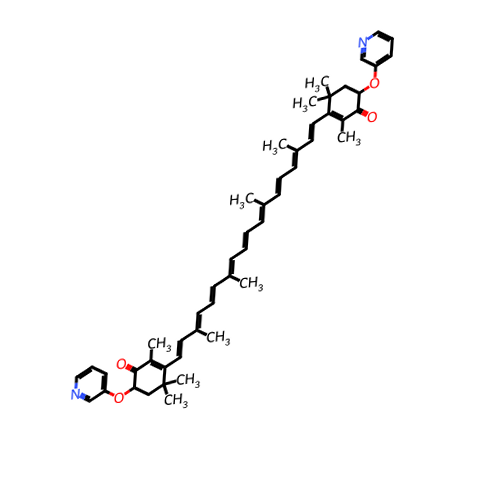 CC1=C(/C=C/C(C)=C/C=C/C(C)=C/C=C/C=C(C)/C=C/C=C(C)/C=C/C2=C(C)C(=O)C(Oc3cccnc3)CC2(C)C)C(C)(C)CC(Oc2cccnc2)C1=O